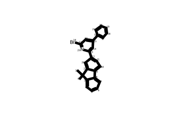 CC1(C)c2ccccc2-c2ccc(-c3cc(-c4ccccc4)cc(Br)n3)cc21